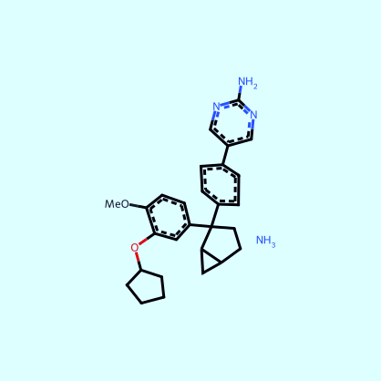 COc1ccc(C2(c3ccc(-c4cnc(N)nc4)cc3)CCC3CC32)cc1OC1CCCC1.N